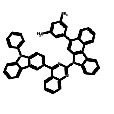 Cc1cc(C)cc(-c2cc3c(c4ccccc24)c2ccccc2n3-c2nc(-c3ccc4c(c3)c3ccccc3n4-c3ccccc3)c3ccccc3n2)c1